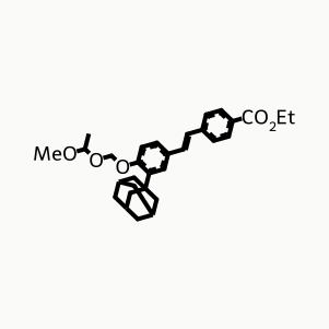 CCOC(=O)c1ccc(/C=C/c2ccc(OCOC(C)OC)c(C34CC5CC(CC(C5)C3)C4)c2)cc1